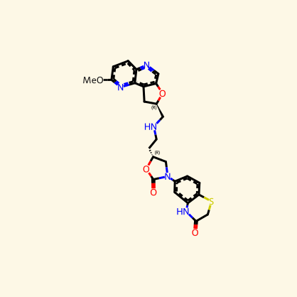 COc1ccc2ncc3c(c2n1)C[C@H](CNCC[C@@H]1CN(c2ccc4c(c2)NC(=O)CS4)C(=O)O1)O3